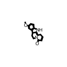 COc1ccc2c(c1)C1CCN3C(=O)C=CCC3=C1N2